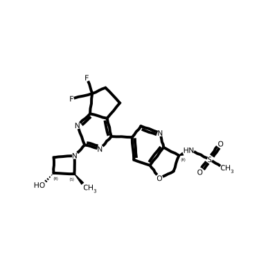 C[C@H]1[C@H](O)CN1c1nc(-c2cnc3c(c2)OC[C@@H]3NS(C)(=O)=O)c2c(n1)C(F)(F)CC2